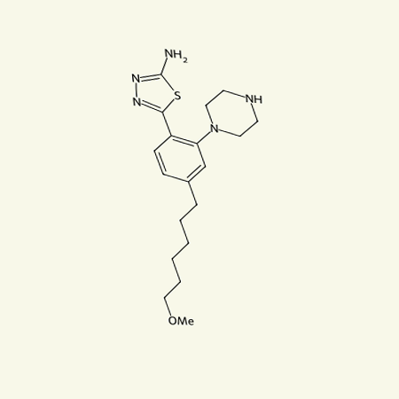 COCCCCCCc1ccc(-c2nnc(N)s2)c(N2CCNCC2)c1